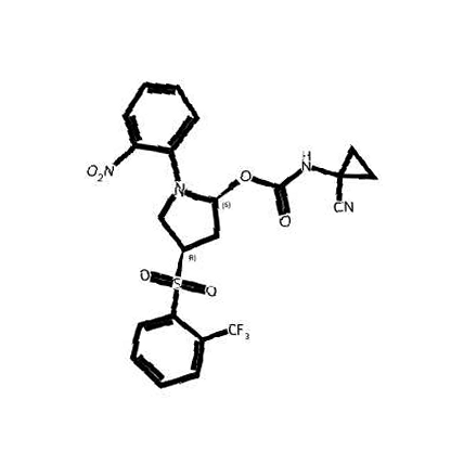 N#CC1(NC(=O)O[C@H]2C[C@@H](S(=O)(=O)c3ccccc3C(F)(F)F)CN2c2ccccc2[N+](=O)[O-])CC1